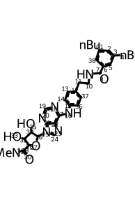 CCCCc1cc(CCCC)cc(C(=O)NCCc2ccc(Nc3ncnc4c3ncn4C3OC(C(=O)NC)C(O)C3O)cc2)c1